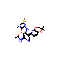 CC(=O)Nc1cc(Nc2nc(S(C)(=O)=O)cn(C)c2=O)c(-c2ccc3c(n2)OCC(C)(C)O3)cn1